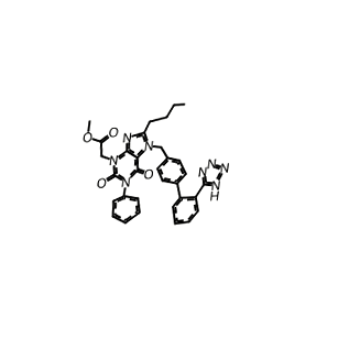 CCCCc1nc2c(c(=O)n(-c3ccccc3)c(=O)n2CC(=O)OC)n1Cc1ccc(-c2ccccc2-c2nnn[nH]2)cc1